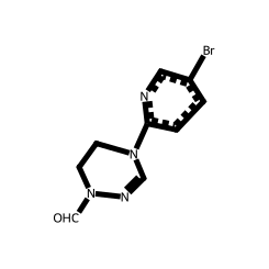 O=CN1CCN(c2ccc(Br)cn2)C=N1